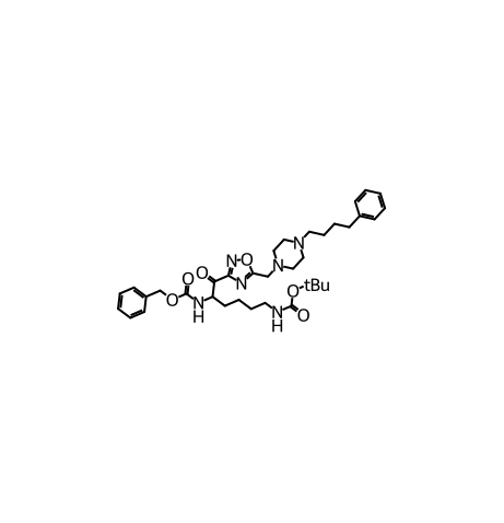 CC(C)(C)OC(=O)NCCCCC(NC(=O)OCc1ccccc1)C(=O)c1noc(CN2CCN(CCCCc3ccccc3)CC2)n1